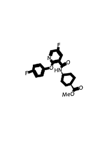 COC(=O)[C@H]1CC[C@H](NC(=O)c2cc(F)cnc2Oc2ccc(F)cc2)CC1